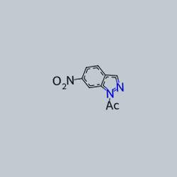 CC(=O)n1ncc2ccc([N+](=O)[O-])cc21